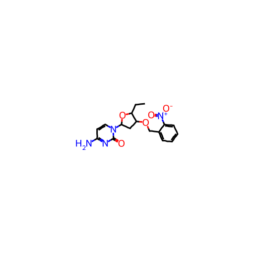 CCC1OC(n2ccc(N)nc2=O)CC1OCc1ccccc1[N+](=O)[O-]